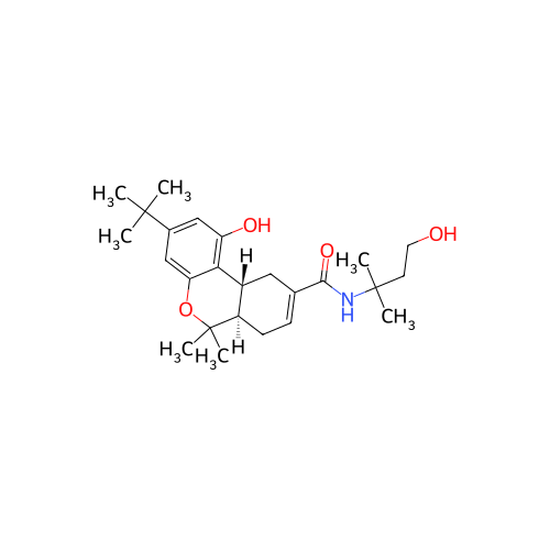 CC(C)(CCO)NC(=O)C1=CC[C@@H]2[C@@H](C1)c1c(O)cc(C(C)(C)C)cc1OC2(C)C